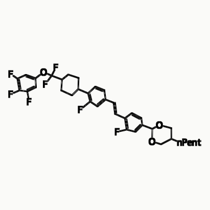 CCCCCC1COC(c2ccc(/C=C/c3ccc(C4CCC(C(F)(F)Oc5cc(F)c(F)c(F)c5)CC4)c(F)c3)c(F)c2)OC1